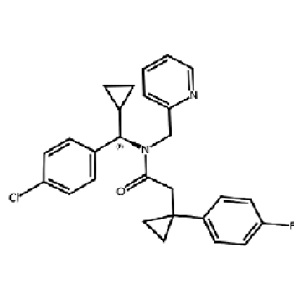 O=C(CC1(c2ccc(F)cc2)CC1)N(Cc1ccccn1)[C@@H](c1ccc(Cl)cc1)C1CC1